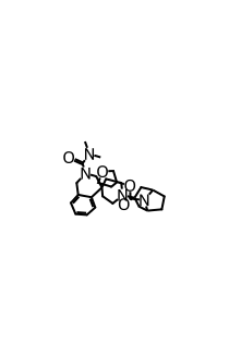 CN(C)C(=O)N1Cc2ccccc2C2(CCN(C3CC4CCC(C3)N4C(=O)O[C@H]3CCOC3)CC2)C1